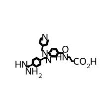 N=C(N)c1ccc(-c2nc3cc(C(=O)NCCC(=O)O)ccc3n2Cc2ccncc2)cc1